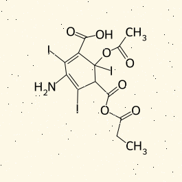 CCC(=O)OC(=O)C1C(I)=C(N)C(I)=C(C(=O)O)C1(I)OC(C)=O